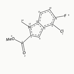 COC(=O)c1cc2c(Cl)c(F)ccc2n1C